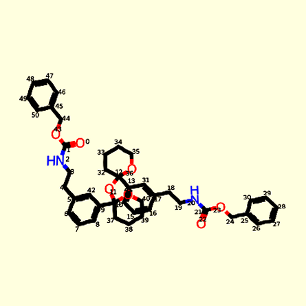 O=C(NCCc1cccc(C2(OC3(c4cccc(CCNC(=O)OCc5ccccc5)c4)CCCCO3)CCCCO2)c1)OCc1ccccc1